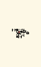 Nc1ccc(-c2ccccc2)cc1NC(=O)c1ccc(C2(C3CCC4(CCN4)CC3)CCC3(CCN3)CC2)nc1